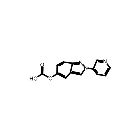 O=C(O)Oc1ccc2nn(-c3cccnc3)cc2c1